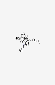 [2H]CC/C=C/C(C(=O)N[CH]([RaH])C(C)=O)C(O)(CCOP)C(C)=O